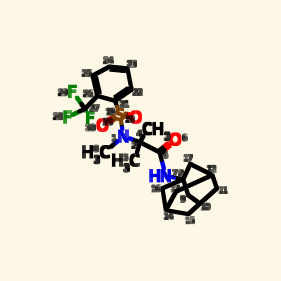 CN(C(C)(C)C(=O)NC12CC3CC(CC(C3)C1)C2)S(=O)(=O)c1ccccc1C(F)(F)F